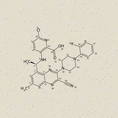 Cc1cc([C@@H](C)Nc2ccc(Cl)nc2C(=O)O)c2nc(N3CCN(c4ccccc4F)CC3)c(C#N)nc2c1